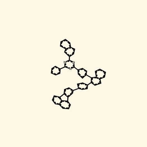 c1ccc(-c2nc(-c3ccc(-c4c(-c5ccc(-c6ccc7c(c6)-c6cccc8cccc-7c68)cc5)ccc5ccccc45)cc3)nc(-c3ccc4ccccc4c3)n2)cc1